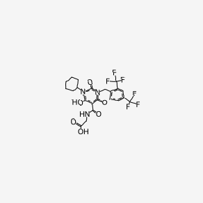 O=C(O)CNC(=O)c1c(O)n(C2CCCCC2)c(=O)n(Cc2ccc(C(F)(F)F)cc2C(F)(F)F)c1=O